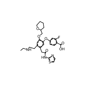 CCNCCc1cc(OCC2CCCCO2)c(Oc2ccc(C(=O)O)c(F)c2)cc1CC(=O)Nc1nccs1